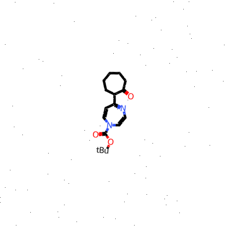 CC(C)(C)OC(=O)N1C=CN=C(C2CCCCCC2=O)C=C1